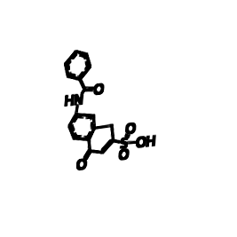 O=C(Nc1ccc2c(c1)CC(S(=O)(=O)O)=CC2=O)c1ccccc1